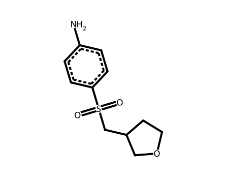 Nc1ccc(S(=O)(=O)CC2CCOC2)cc1